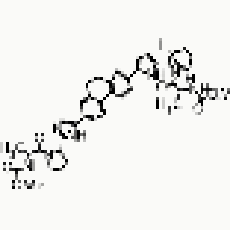 COC(=O)N[C@@H](C)C(=O)N1CCC[C@H]1c1ncc(-c2ccc3c(c2)CCc2cc(-c4ccc([C@@H]5[C@H]6CC[C@H](C6)N5C(=O)[C@H](C)NC(=O)OC)[nH]4)ccc2-3)[nH]1